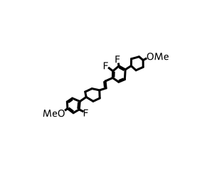 COc1ccc(C2CCC(/C=C/c3ccc(C4CCC(OC)CC4)c(F)c3F)CC2)c(F)c1